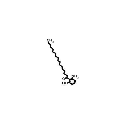 CCCCCCCCCCCCCCCCCC(=O)c1c(N)cccc1O